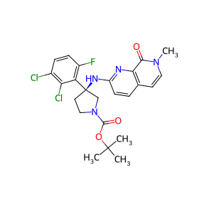 Cn1ccc2ccc(N[C@]3(c4c(F)ccc(Cl)c4Cl)CCN(C(=O)OC(C)(C)C)C3)nc2c1=O